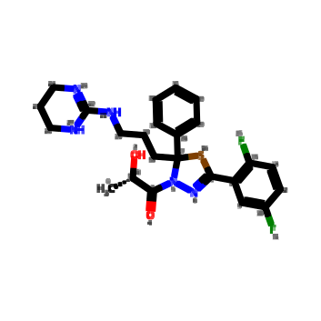 C[C@H](O)C(=O)N1N=C(c2cc(F)ccc2F)SC1(CCCNC1=NCCCN1)c1ccccc1